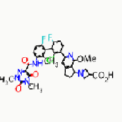 COc1nc(-c2ccc(F)c(-c3c(F)ccc(NC(=O)c4nn(C)c(=O)n(C)c4=O)c3C)c2Cl)cc2c1C(N1CC(C(=O)O)C1)CC2